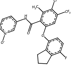 Cc1c(Cl)c(C(F)(F)F)cc(Oc2ccc(F)c3c2CCC3)c1C(=O)Nc1ccc[n+]([O-])c1